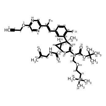 C#CCOc1cnc(/C(F)=C/c2ccc(F)c([C@@]3(C)N=C(N(COCC[Si](C)(C)C)C(=O)OC(C)(C)C)S[C@@]4(C(=O)NCC(C)=O)C[C@H]43)c2)cn1